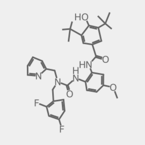 COc1ccc(NC(=O)N(Cc2ccccn2)Cc2ccc(F)cc2F)c(NC(=O)c2cc(C(C)(C)C)c(O)c(C(C)(C)C)c2)c1